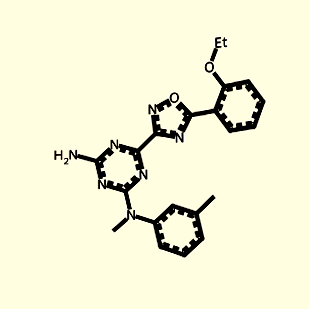 CCOc1ccccc1-c1nc(-c2nc(N)nc(N(C)c3cccc(C)c3)n2)no1